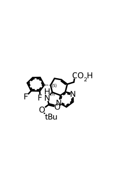 CC(C)(C)OC(=O)N[C@@H]1c2nccnc2C(CC(=O)O)=CC[C@H]1c1cccc(F)c1F